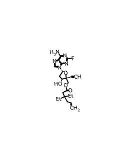 C#C[C@]1(COC(=O)CC(CC)(CC)CC=C)O[C@@H](n2cnc3c(N)nc(F)nc32)C[C@@H]1O